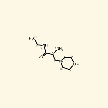 CCNC(=O)[C@@H](N)CN1CCOCC1